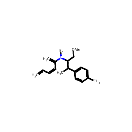 C=C/C=C\C(=C)N(CC)C(COC)C(C)c1ccc(C)cc1